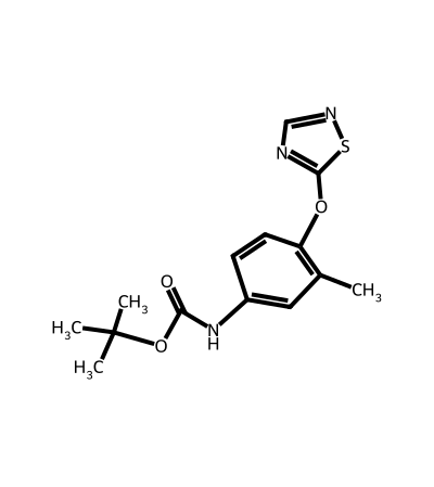 Cc1cc(NC(=O)OC(C)(C)C)ccc1Oc1ncns1